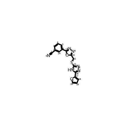 N#Cc1cccc(-c2nnc(CSc3nnc(-c4ccco4)[nH]3)o2)c1